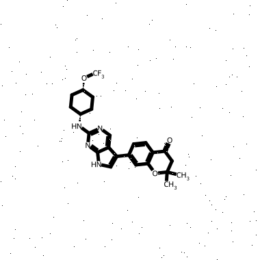 CC1(C)CC(=O)c2ccc(-c3c[nH]c4nc(N[C@H]5CC[C@@H](OC(F)(F)F)CC5)ncc34)cc2O1